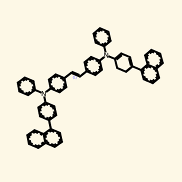 C1=C(c2cccc3ccccc23)CCC(N(c2ccccc2)c2ccc(/C=C/c3ccc(N(c4ccccc4)c4ccc(-c5cccc6ccccc56)cc4)cc3)cc2)=C1